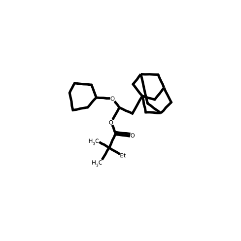 CCC(C)(C)C(=O)OC(CC12CC3CC(CC(C3)C1)C2)OC1CCCCC1